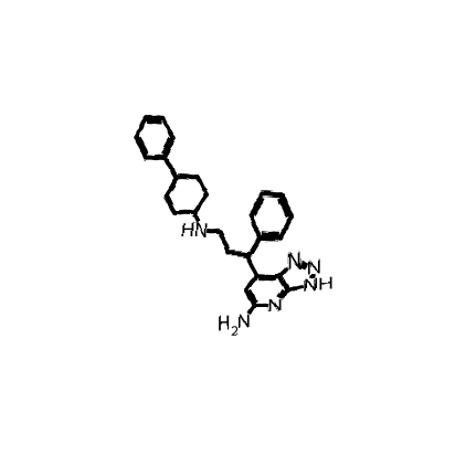 Nc1cc(C(CCN[C]2CCC(c3ccccc3)CC2)c2ccccc2)c2nn[nH]c2n1